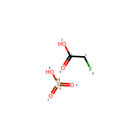 O=C(O)CF.O=[SH](=O)O